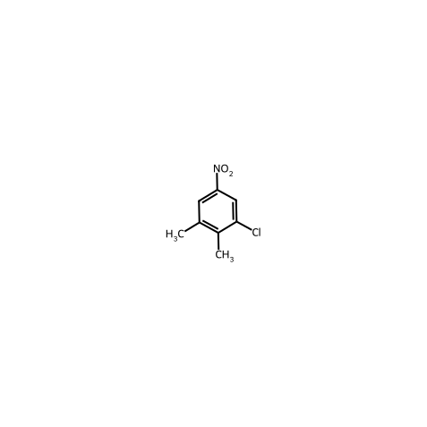 Cc1cc([N+](=O)[O-])cc(Cl)c1C